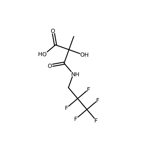 CC(O)(C(=O)O)C(=O)NCC(F)(F)C(F)(F)F